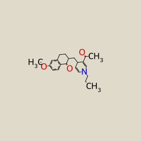 CCCN1C=CC(CC2CCc3cc(OC)ccc3C2=O)C(C(C)=O)=C1